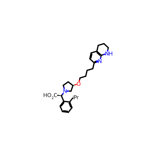 CC(C)c1ccccc1[C@@H](C(=O)O)N1CC[C@@H](OCCCCc2ccc3c(n2)NCCC3)C1